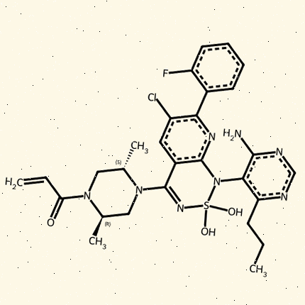 C=CC(=O)N1C[C@H](C)N(C2=NS(O)(O)N(c3c(N)ncnc3CCC)c3nc(-c4ccccc4F)c(Cl)cc32)C[C@H]1C